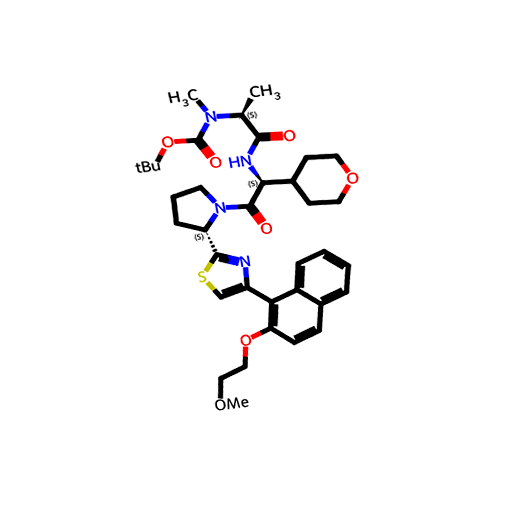 COCCOc1ccc2ccccc2c1-c1csc([C@@H]2CCCN2C(=O)[C@@H](NC(=O)[C@H](C)N(C)C(=O)OC(C)(C)C)C2CCOCC2)n1